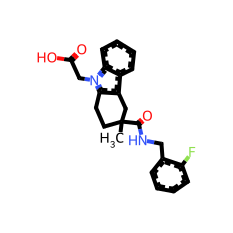 CC1(C(=O)NCc2ccccc2F)CCc2c(c3ccccc3n2CC(=O)O)C1